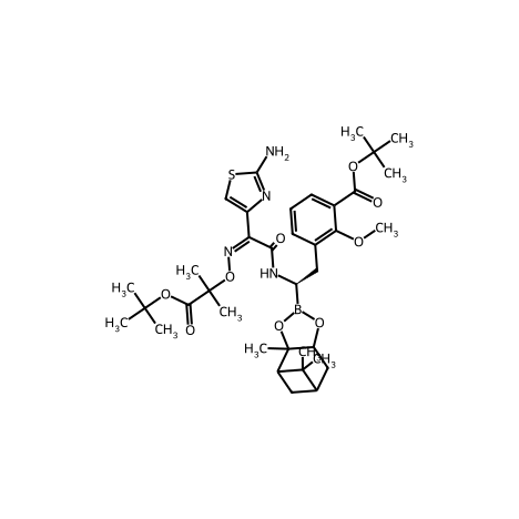 COc1c(C[C@H](NC(=O)/C(=N\OC(C)(C)C(=O)OC(C)(C)C)c2csc(N)n2)B2OC3CC4CC(C4(C)C)C3(C)O2)cccc1C(=O)OC(C)(C)C